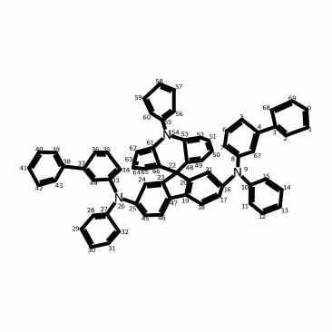 c1ccc(-c2cccc(N(c3ccccc3)c3ccc4c(c3)C3(c5cc(N(c6ccccc6)c6cccc(-c7ccccc7)c6)ccc5-4)c4ccccc4N(c4ccccc4)c4ccccc43)c2)cc1